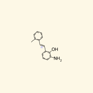 Cc1ccccc1/C=C/c1cccc(N)c1O